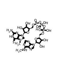 CNc1ncnc2c1ncn2[C@@H]1O[C@H](COP(=O)(O)OP(=O)(O)OP(=O)(O)OC[C@H]2O[C@@H](n3c[n+](C)c4c(=S)[nH]c(N)nc43)[C@@H](O)C2O)C(O)[C@@H]1O